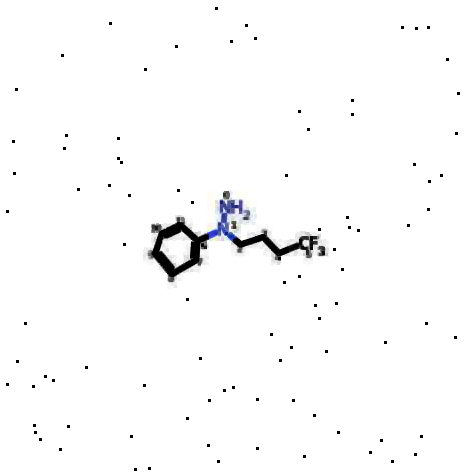 NN(CCCC(F)(F)F)c1ccccc1